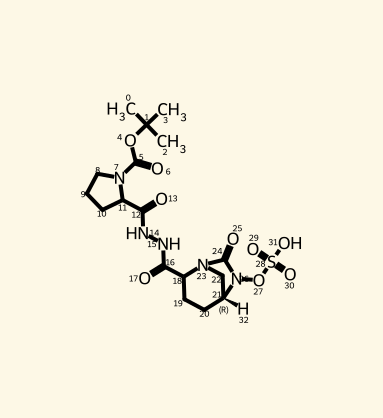 CC(C)(C)OC(=O)N1CCCC1C(=O)NNC(=O)C1CC[C@@H]2CN1C(=O)N2OS(=O)(=O)O